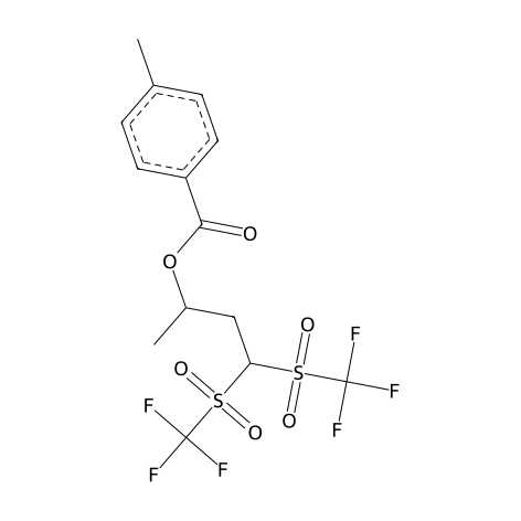 Cc1ccc(C(=O)OC(C)CC(S(=O)(=O)C(F)(F)F)S(=O)(=O)C(F)(F)F)cc1